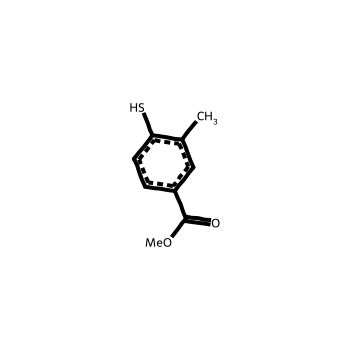 COC(=O)c1ccc(S)c(C)c1